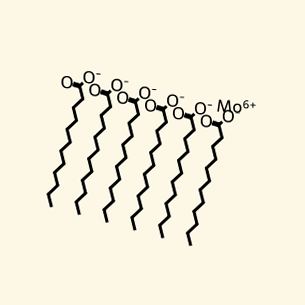 CCCCCCCCCCCC(=O)[O-].CCCCCCCCCCCC(=O)[O-].CCCCCCCCCCCC(=O)[O-].CCCCCCCCCCCC(=O)[O-].CCCCCCCCCCCC(=O)[O-].CCCCCCCCCCCC(=O)[O-].[Mo+6]